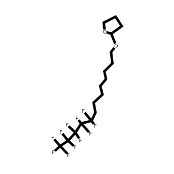 FC(F)(F)C(F)(F)C(F)(F)C(F)(F)C(F)(F)CCCCCCCCOC1CCCO1